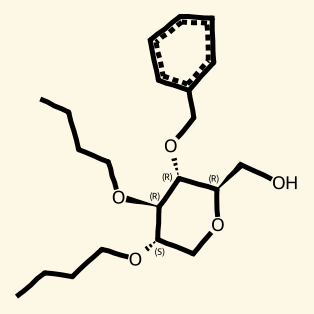 CCCCO[C@H]1[C@H](OCc2ccccc2)[C@@H](CO)OC[C@@H]1OCCCC